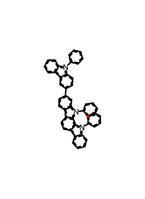 c1ccc(-n2c3ccccc3c3cc(-c4ccc5c6ccc7c8ccccc8n(-c8ccccc8)c7c6n(-c6ccccc6)c5c4)ccc32)cc1